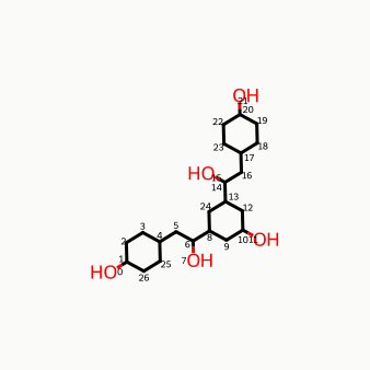 OC1CCC(CC(O)C2CC(O)CC(C(O)CC3CCC(O)CC3)C2)CC1